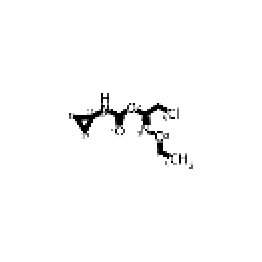 CCON=C(CCl)OC(=O)NC1CC1